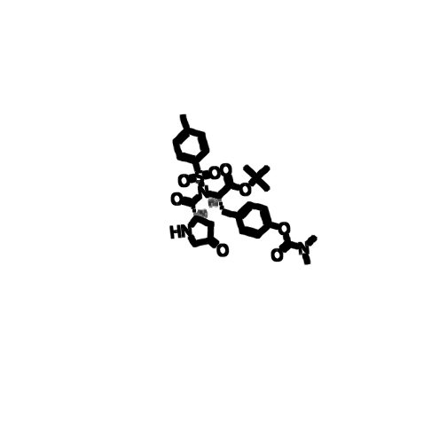 Cc1ccc(S(=O)(=O)N(C(=O)[C@@H]2CC(=O)CN2)[C@@H](Cc2ccc(OC(=O)N(C)C)cc2)C(=O)OC(C)(C)C)cc1